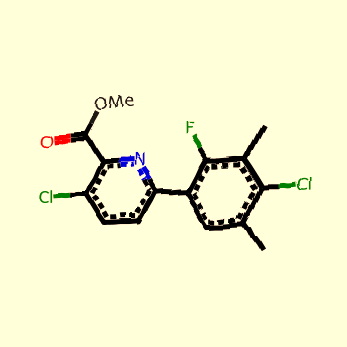 COC(=O)c1nc(-c2cc(C)c(Cl)c(C)c2F)ccc1Cl